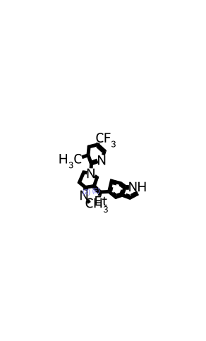 CC/C(=C1/CN(C2=NC=C(C(F)(F)F)CC2C)CC/C1=N/C)c1ccc2[nH]ccc2c1